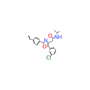 C=Cc1ccc(-c2nc(CC(=O)NC(C)C)c(-c3cccc(Cl)c3)o2)cc1